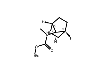 CN(C(=O)OC(C)(C)C)[C@@H]1[C@@H]2CC[C@H]1NC2